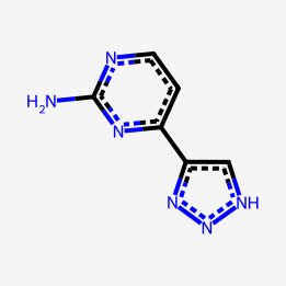 Nc1nccc(-c2c[nH]nn2)n1